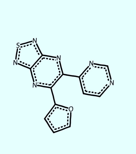 c1coc(-c2nc3nsnc3nc2-c2ccncn2)c1